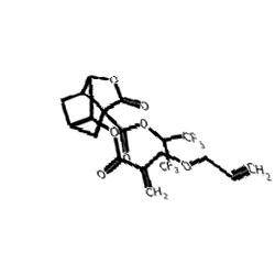 C=CCOCC(=C)C(=O)OC1C2CC3C1OC(=O)C3(C(=O)OC(C(F)(F)F)C(F)(F)F)C2